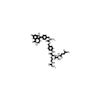 CC(C)C(=O)CCC(=O)N[C@H](C(=O)N[C@@H](CCCNC(N)=O)C(=O)Nc1ccc(COC(=O)N(C)Cc2ccc(-c3[nH]c4cc(F)cc5c4c3CCNC5=O)cc2)cc1)C(C)C